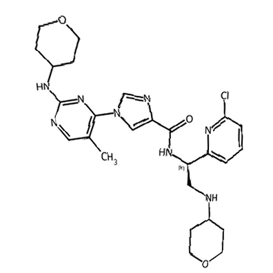 Cc1cnc(NC2CCOCC2)nc1-n1cnc(C(=O)N[C@H](CNC2CCOCC2)c2cccc(Cl)n2)c1